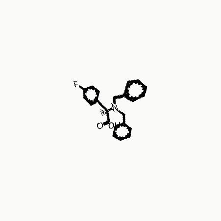 O=C(O)[C@@H](c1ccc(F)cc1)N(Cc1ccccc1)Cc1ccccc1